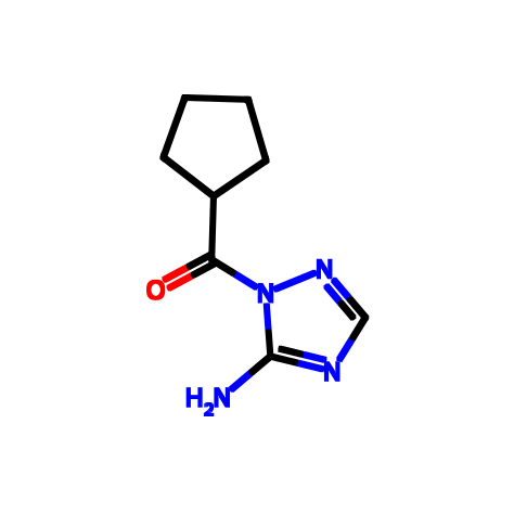 Nc1ncnn1C(=O)C1CCCC1